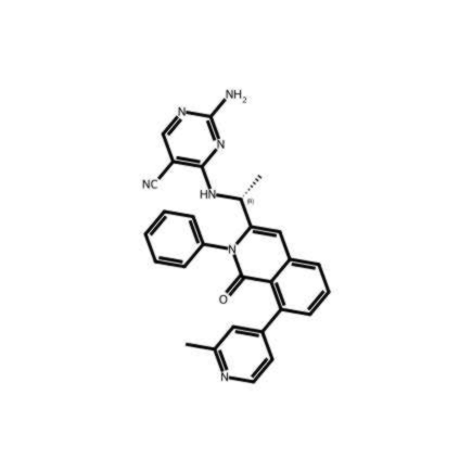 Cc1cc(-c2cccc3cc([C@@H](C)Nc4nc(N)ncc4C#N)n(-c4ccccc4)c(=O)c23)ccn1